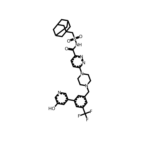 O=C(NS(=O)(=O)CC12CC3CC(CC(C3)C1)C2)c1ccc(N2CCN(Cc3cc(-c4cncc(O)c4)cc(C(F)(F)F)c3)CC2)nn1